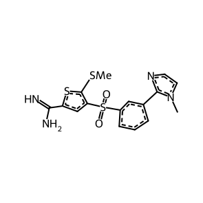 CSc1sc(C(=N)N)cc1S(=O)(=O)c1cccc(-c2nccn2C)c1